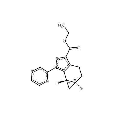 CCOC(=O)c1nn(-c2cnccn2)c2c1CC[C@H]1C[C@H]21